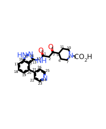 O=C(CC(=O)C1CCN(C(=O)O)CC1)Nc1n[nH]c2cccc(-c3ccncc3)c12